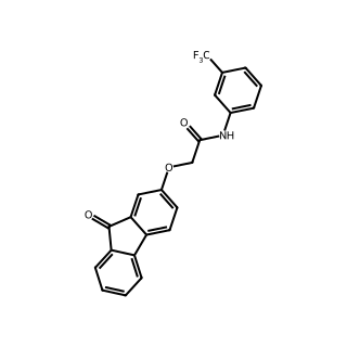 O=C(COc1ccc2c(c1)C(=O)c1ccccc1-2)Nc1cccc(C(F)(F)F)c1